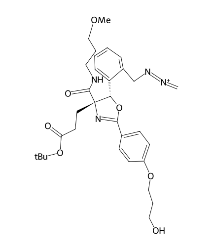 C=[N+]=NCc1ccccc1[C@@H]1OC(c2ccc(OCCCO)cc2)=N[C@]1(CCC(=O)OC(C)(C)C)C(=O)NCCCOC